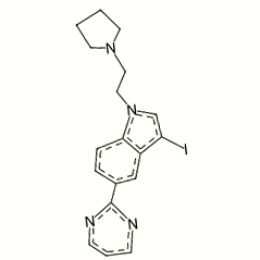 Ic1cn(CCN2CCCC2)c2ccc(-c3ncccn3)cc12